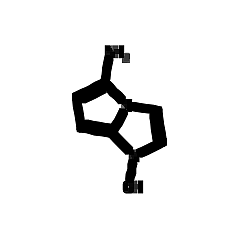 Nc1ccc2n(O)ccn12